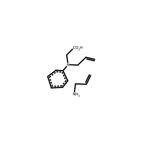 C=CCN.C=CCN(CC(=O)O)c1ccccc1